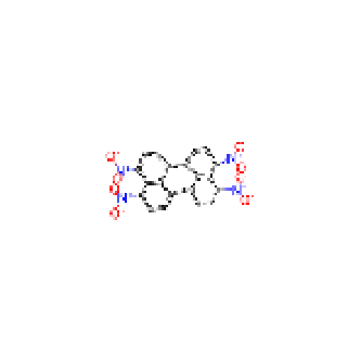 O=[N+]([O-])c1ccc2c3ccc([N+](=O)[O-])c4c([N+](=O)[O-])ccc(c5ccc([N+](=O)[O-])c1c25)c43